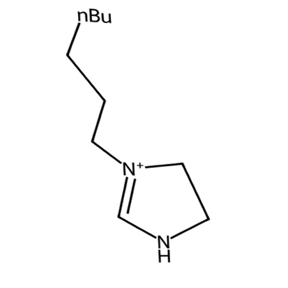 CCCCCCC[N+]1=CNCC1